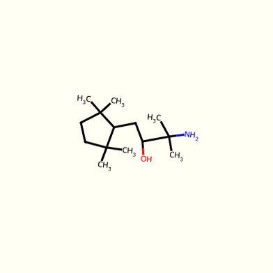 CC(C)(N)C(O)CC1C(C)(C)CCC1(C)C